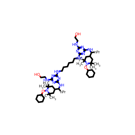 CCCC(Nc1nc(NCCO)nc(NCCCCCCNc2nc(NCCO)nc(NC(CCC)C3CC(C)(C)N(OC4CCCCC4)C(C)(C)C3)n2)n1)C1CC(C)(C)N(OC2CCCCC2)C(C)(C)C1